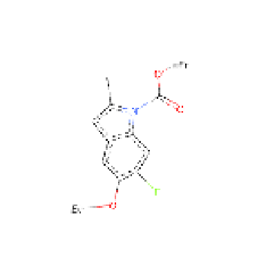 CCCOC(=O)n1c(C)cc2cc(OCC)c(F)cc21